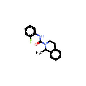 CC1c2ccccc2CCN1C(=O)Nc1ccccc1F